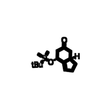 CC(C)(C)[Si](C)(C)O[C@@H]1CC(=O)C[C@@H]2CCC=C21